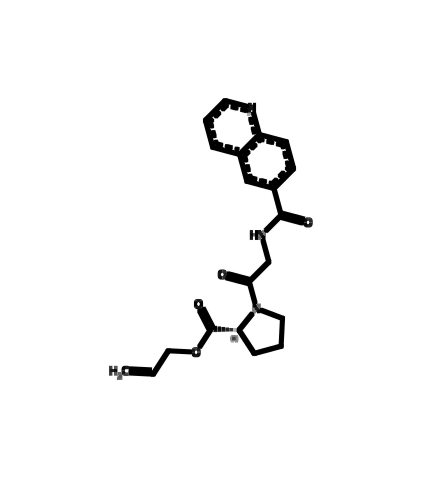 C=CCOC(=O)[C@H]1CCCN1C(=O)CNC(=O)c1ccc2ncccc2c1